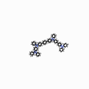 c1ccc(N(c2ccccc2)c2ccc(-c3ccc(N(c4ccccc4)c4ccc(-c5ccc(-c6ccc(N(c7ccccc7)c7ccc(N(c8ccccc8)c8ccccc8)cc7)cc6)cc5)cc4)cc3)cc2)cc1